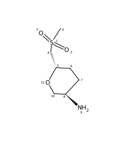 CS(=O)(=O)C[C@@H]1CC[C@@H](N)CO1